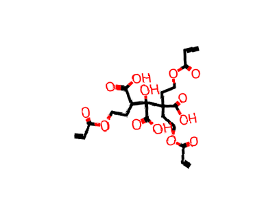 C=CC(=O)OCCC(C(=O)O)C(O)(C(=O)O)C(CCOC(=O)C=C)(CCOC(=O)C=C)C(=O)O